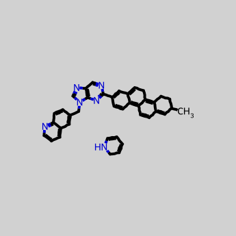 C1=CCNC=C1.CC1C=c2ccc3c(c2CC1)CC=c1cc(-c2ncc4ncn(Cc5ccc6ncccc6c5)c4n2)ccc1=3